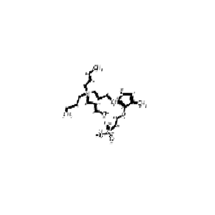 CCCC[N+](CCCC)(CCCC)CCCC.Cc1cscc1OCCS(=O)(=O)O